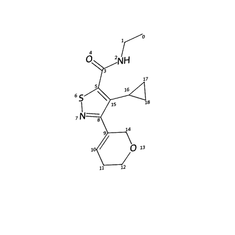 CCNC(=O)c1snc(C2=CCCOC2)c1C1CC1